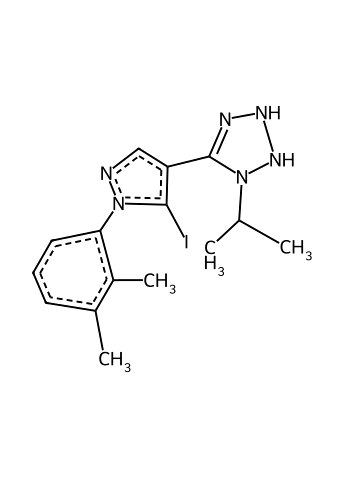 Cc1cccc(-n2ncc(C3=NNNN3C(C)C)c2I)c1C